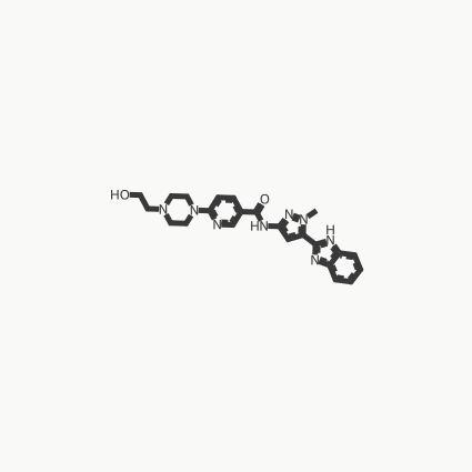 Cn1nc(NC(=O)c2ccc(N3CCN(CCO)CC3)nc2)cc1-c1nc2ccccc2[nH]1